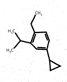 CCc1ccc(C2CC2)cc1[C](C)C